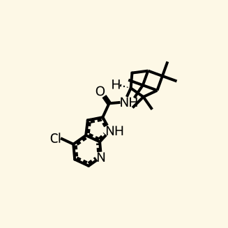 CC1(C)C2C[C@H](NC(=O)c3cc4c(Cl)ccnc4[nH]3)C(C)(C)C1C2(C)C